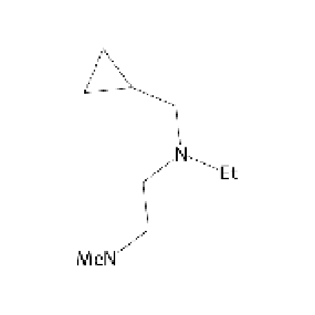 CCN(CCNC)CC1CC1